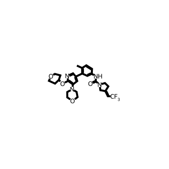 Cc1ccc(NC(=O)N2CC/C(=C\C(F)(F)F)C2)cc1-c1cnc(OC2CCOCC2)c(N2CCOCC2)c1